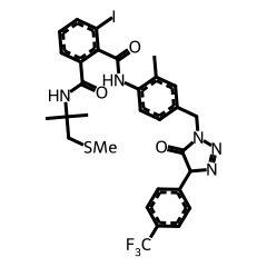 CSCC(C)(C)NC(=O)c1cccc(I)c1C(=O)Nc1ccc(CN2N=NC(c3ccc(C(F)(F)F)cc3)C2=O)cc1C